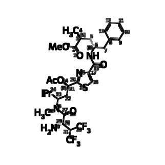 COC(=O)[C@@H](C)C[C@H](Cc1ccccc1)NC(=O)c1csc([C@@H](CC(C(C)C)N(C)C(=O)[C@@H](N)C(C(F)(F)F)C(F)(F)F)OC(C)=O)n1